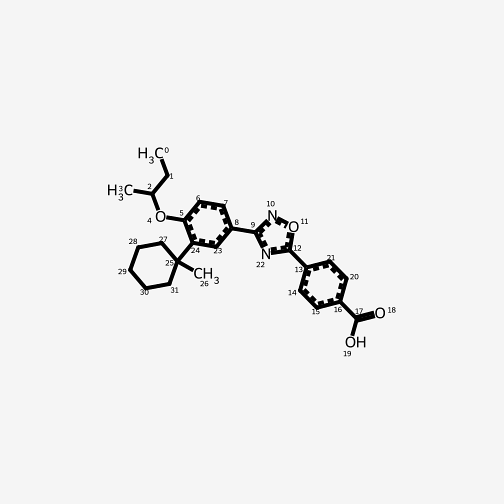 CCC(C)Oc1ccc(-c2noc(-c3ccc(C(=O)O)cc3)n2)cc1C1(C)CCCCC1